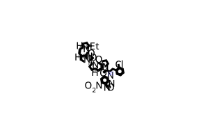 CC[C@@H]1CC[C@@H]2C=C[C@H]3CCN(C(=O)[C@@H]4CC[C@H]5C=C[C@]6(CCCN6C(=O)/C(Cc6ccccc6Cl)=N\c6ccc([N+](=O)[O-])c7nonc67)C(=O)N54)[C@@H]3C(=O)N12